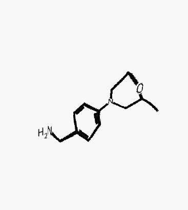 CC1CN(c2ccc(CN)cc2)CCO1